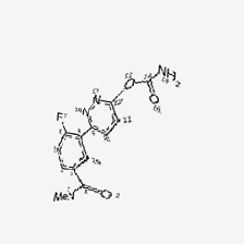 CNC(=O)c1ccc(F)c(-c2ccc(OC(N)=O)nn2)c1